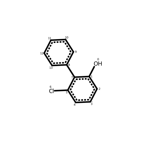 Oc1c[c]cc(Cl)c1-c1ccccc1